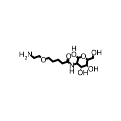 NCCOCCCCC(=O)NC1C(O)OC(CO)[C@@H](O)[C@@H]1O